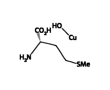 CSCC[C@H](N)C(=O)O.[OH][Cu]